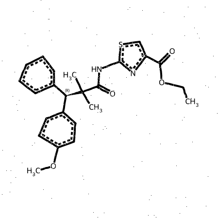 CCOC(=O)c1csc(NC(=O)C(C)(C)[C@H](c2ccccc2)c2ccc(OC)cc2)n1